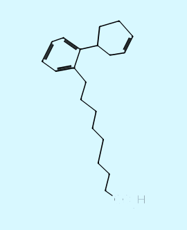 O=C(O)CCCCCCCCc1ccccc1C1CC=CCC1